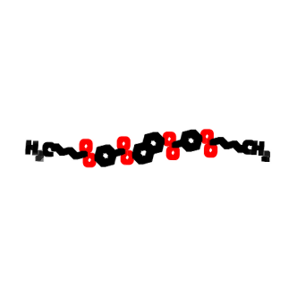 C=CCCCC(=O)Oc1ccc(C(=O)Oc2ccc3cc(OC(=O)c4ccc(OC(=O)CCCC=C)cc4)ccc3c2)cc1